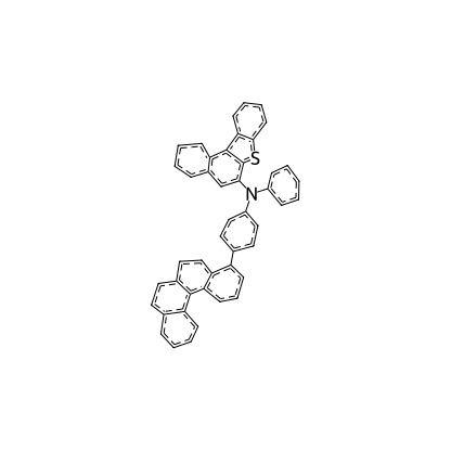 c1ccc(N(c2ccc(-c3cccc4c3ccc3ccc5ccccc5c34)cc2)c2cc3ccccc3c3c2sc2ccccc23)cc1